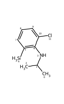 CC(C)Nc1c([SiH3])cccc1Cl